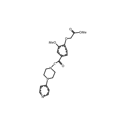 COC(=O)COc1ccc(C(=O)CN2CCN(c3ccncc3)CC2)cc1OC